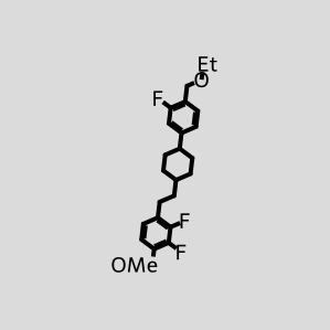 CCOCc1ccc(C2CCC(CCc3ccc(OC)c(F)c3F)CC2)cc1F